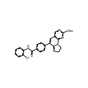 CSc1ncc2c(n1)N1CCN=C1C(c1ccc(C(=O)Nc3ccccc3Cl)cc1)=C2